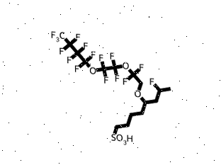 CC(F)CC(CCCCS(=O)(=O)O)OCC(F)(F)OC(F)(F)C(F)(F)OC(F)(F)C(F)(F)C(F)(F)C(F)(F)F